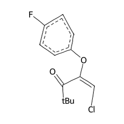 CC(C)(C)C(=O)C(=CCl)Oc1ccc(F)cc1